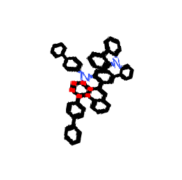 C1=CCC2C(=C1)c1ccccc1C=C2c1cc(-c2ccccc2-n2c3ccccc3c3ccccc32)ccc1N(c1ccc(-c2ccccc2)cc1)c1ccc(-c2ccc(-c3ccccc3)cc2)cc1